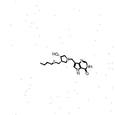 CCCCSC[C@@H]1CN(Cc2c[nH]c3c(=O)[nH]cnc23)C[C@H]1O